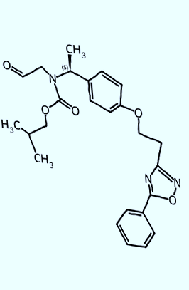 CC(C)COC(=O)N(CC=O)[C@@H](C)c1ccc(OCCc2noc(-c3ccccc3)n2)cc1